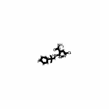 CC(C)(CNc1nnc(Cl)cc1C(N)=O)c1ccc(F)cc1